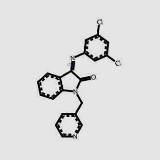 O=C1/C(=N\c2cc(Cl)cc(Cl)c2)c2ccccc2N1Cc1cccnc1